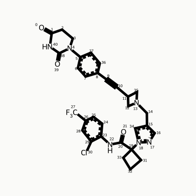 O=C1CCN(c2ccc(C#CC3CN(Cc4cnn(C5(C(=O)Nc6ccc(C(F)(F)F)cc6Cl)CCC5)c4)C3)cc2)C(=O)N1